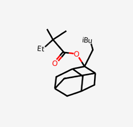 CCC(C)CC1(OC(=O)C(C)(C)CC)C2CC3CC(C2)CC1C3